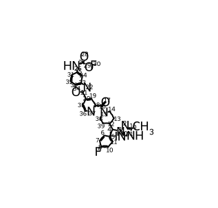 CC1=NN(C(c2ccc(F)cc2)C2CCN(C(=O)c3cc(-c4nc5cc(NC(=O)OF)ccc5o4)ccn3)CC2)NN1